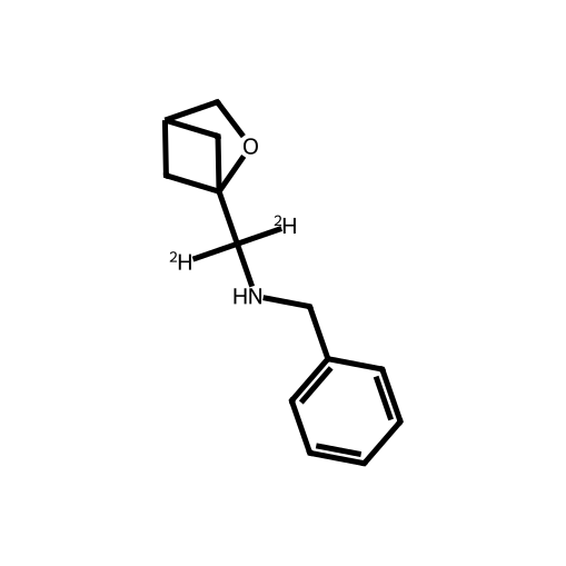 [2H]C([2H])(NCc1ccccc1)C12CC(CO1)C2